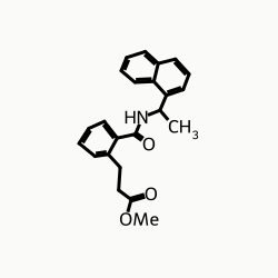 COC(=O)CCc1ccccc1C(=O)NC(C)c1cccc2ccccc12